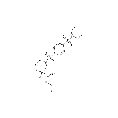 CCOC(=O)C1(F)CCCN(S(=O)(=O)c2ccc(S(=O)(=O)N(CC)CC)cc2)C1